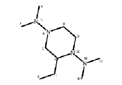 CCC1CN(N(C)C)CCN1N(C)C